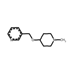 CN1CCC(OCc2cccnc2)CC1